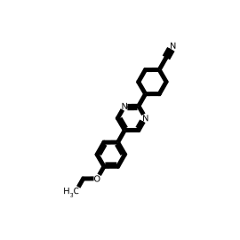 CCOc1ccc(-c2cnc(C3CCC(C#N)CC3)nc2)cc1